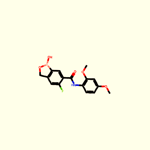 COc1ccc(NC(=O)c2cc3c(cc2F)COB3O)c(OC)c1